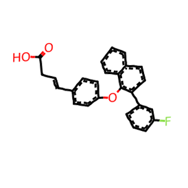 O=C(O)CC=Cc1ccc(Oc2c(-c3cccc(F)c3)ccc3ccccc23)cc1